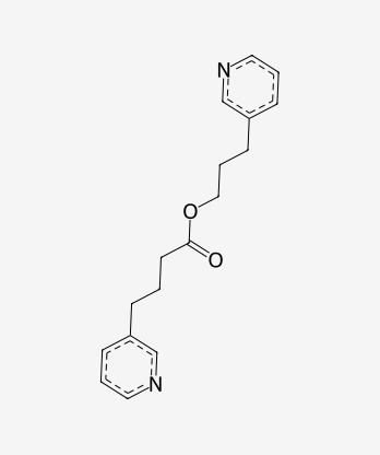 O=C(CCCc1cccnc1)OCCCc1cccnc1